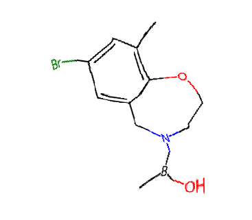 CB(O)N1CCOc2c(C)cc(Br)cc2C1